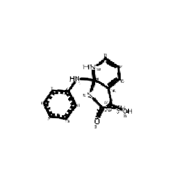 CC(=O)SC1(Nc2ccccc2)NC=CC=C1C(=O)O